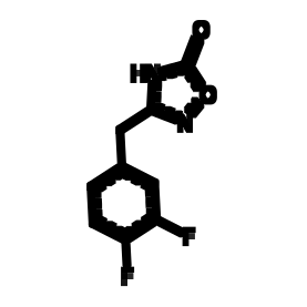 O=c1[nH]c(Cc2ccc(F)c(F)c2)no1